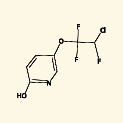 Oc1ccc(OC(F)(F)C(F)Cl)cn1